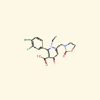 CCn1c(CN2CCOC2=O)cc(=O)c(C(=O)O)c1-c1ccc(Cl)c(Cl)c1